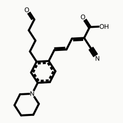 N#C/C(=C\C=C\c1ccc(N2CCCCC2)cc1CCCC=O)C(=O)O